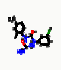 Cc1cc([N+](=O)[O-])ccc1NC(=O)N(NC(N)=O)c1cccc(F)c1